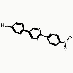 O=[N+]([O-])c1ccc(-c2ncc(-c3ccc(O)cc3)cn2)cc1